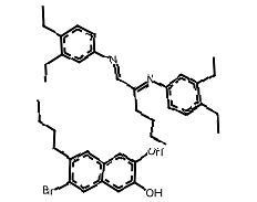 CCCCC(C=Nc1ccc(CC)c(CC)c1)=Nc1ccc(CC)c(CC)c1.CCCCc1cc2cc(O)c(O)cc2cc1Br